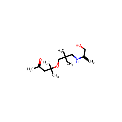 C=C(CO)NCC(C)(C)COC(C)(C)CC(C)=O